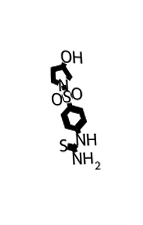 NC(=S)Nc1ccc(S(=O)(=O)N2CCC(O)C2)cc1